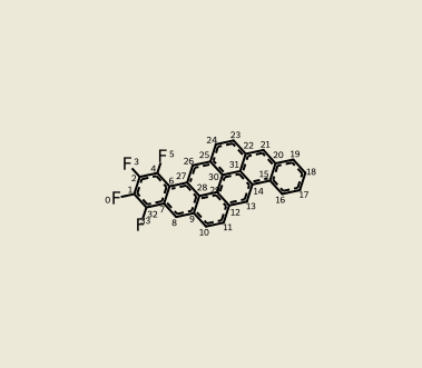 Fc1c(F)c(F)c2c(cc3ccc4cc5c6ccccc6cc6ccc7cc2c3c4c7c65)c1F